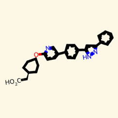 O=C(O)C[C@H]1CC[C@H](Oc2ccc(-c3ccc(-c4cc(-c5ccccc5)n[nH]4)cc3)cn2)CC1